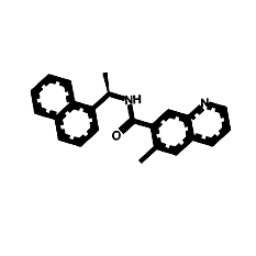 Cc1cc2cccnc2cc1C(=O)N[C@H](C)c1cccc2ccccc12